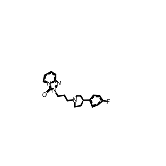 O=c1n(CCCN2CCC(c3ccc(F)cc3)CC2)nc2ccccn12